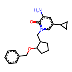 Nc1cc(C2CC2)cn(CC2CCCC2OCc2ccccc2)c1=O